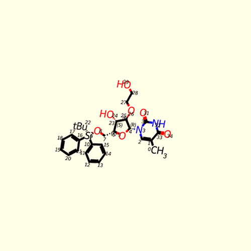 Cc1cn([C@@H]2O[C@H](CO[Si](c3ccccc3)(c3ccccc3)C(C)(C)C)[C@H](O)[C@H]2OCCO)c(=O)[nH]c1=O